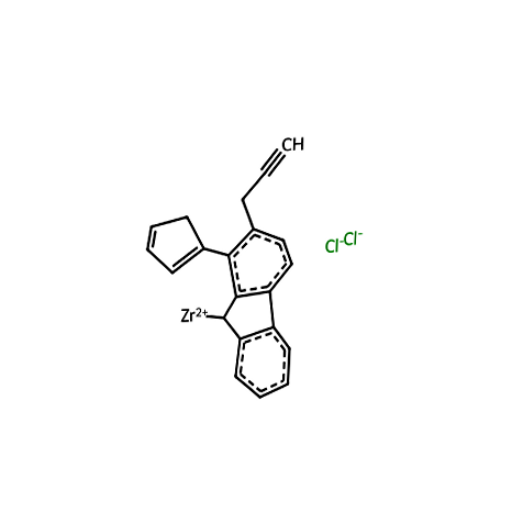 C#CCc1ccc2c(c1C1=CC=CC1)[CH]([Zr+2])c1ccccc1-2.[Cl-].[Cl-]